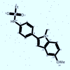 CCS(=O)(=O)Nc1ccc(-c2cc3cc(OC)ccc3n2C)cc1